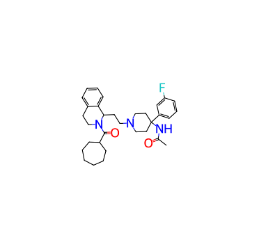 CC(=O)NC1(c2cccc(F)c2)CCN(CCC2c3ccccc3CCN2C(=O)C2CCCCCC2)CC1